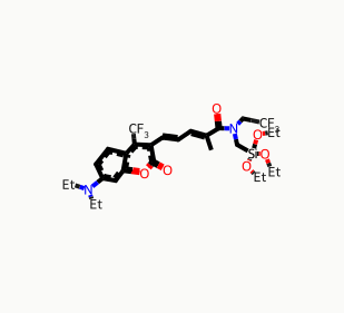 CCO[Si](CN(CC(F)(F)F)C(=O)/C(C)=C/C=C/c1c(C(F)(F)F)c2ccc(N(CC)CC)cc2oc1=O)(OCC)OCC